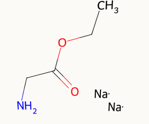 CCOC(=O)CN.[Na].[Na]